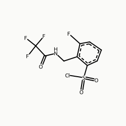 O=C(NCc1c(F)cccc1S(=O)(=O)Cl)C(F)(F)F